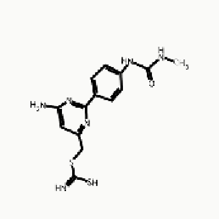 CNC(=O)Nc1ccc(-c2nc(N)cc(CSC(=N)S)n2)cc1